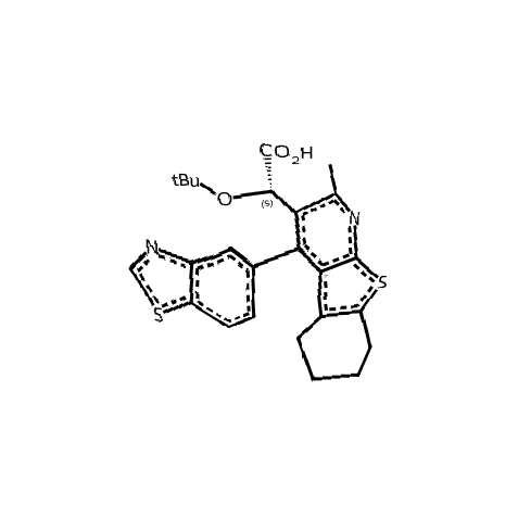 Cc1nc2sc3c(c2c(-c2ccc4scnc4c2)c1[C@H](OC(C)(C)C)C(=O)O)CCCC3